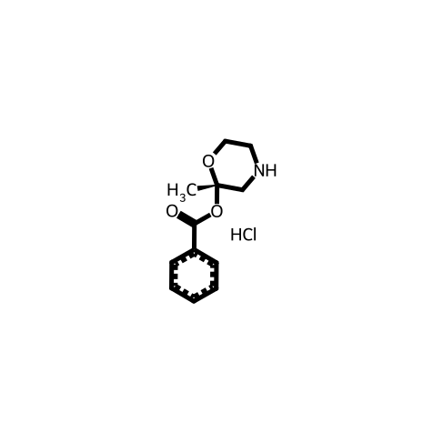 C[C@]1(OC(=O)c2ccccc2)CNCCO1.Cl